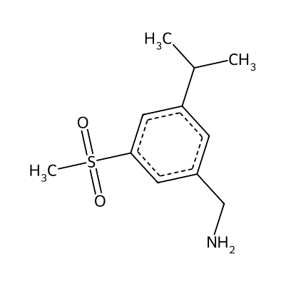 CC(C)c1cc(CN)cc(S(C)(=O)=O)c1